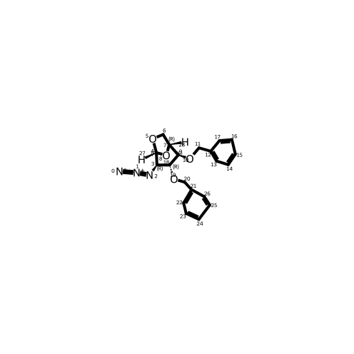 [N-]=[N+]=N[C@H]1[C@@H]2OC[C@@H](O2)[C@@H](OCc2ccccc2)[C@@H]1OCc1ccccc1